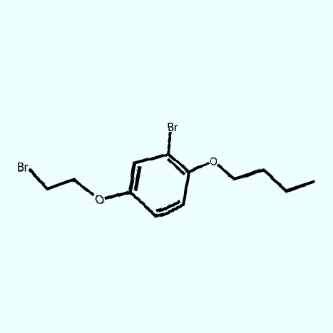 CCCCOc1ccc(OCCBr)cc1Br